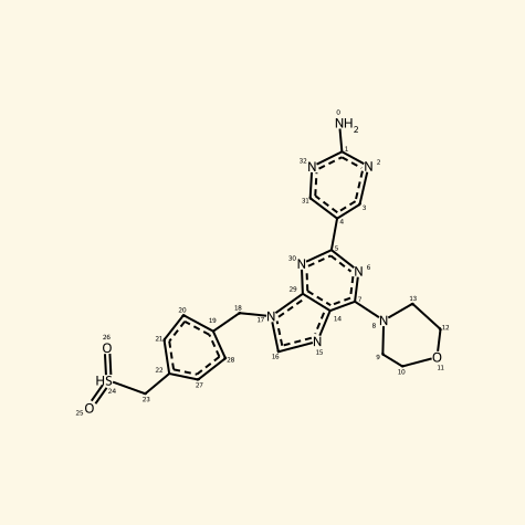 Nc1ncc(-c2nc(N3CCOCC3)c3ncn(Cc4ccc(C[SH](=O)=O)cc4)c3n2)cn1